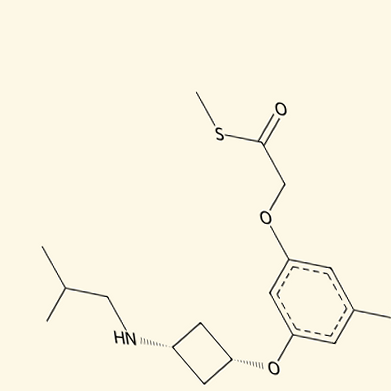 CSC(=O)COc1cc(F)cc(O[C@H]2C[C@@H](NCC(C)C)C2)c1